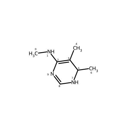 CNC1=C(C)C(C)NC=N1